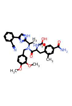 COc1ccc(CN(C(=O)C(Cc2c(C)cc(C(N)=O)cc2C)NC(=O)O)C(C)c2nc(-c3ccccc3C#N)c[nH]2)cc1OC